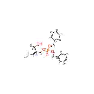 C=C/C=C(/COP(=O)(OCc1ccccc1)OCc1ccccc1)C(=C)O